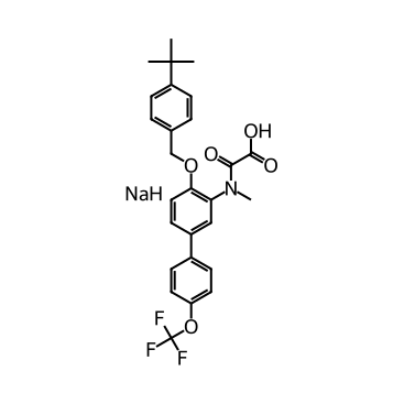 CN(C(=O)C(=O)O)c1cc(-c2ccc(OC(F)(F)F)cc2)ccc1OCc1ccc(C(C)(C)C)cc1.[NaH]